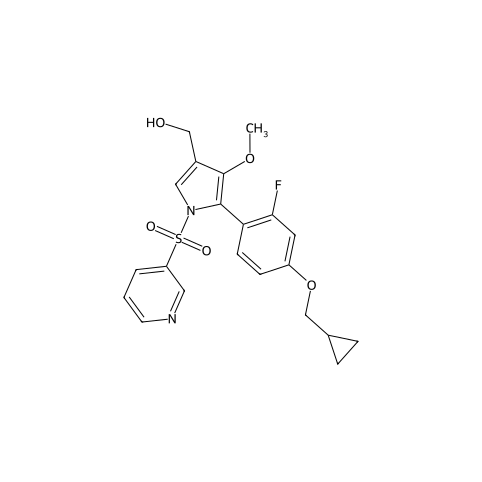 COc1c(CO)cn(S(=O)(=O)c2cccnc2)c1-c1ccc(OCC2CC2)cc1F